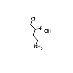 Cl.NCCC(F)CCl